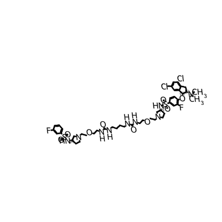 CN(C)[C@H]1Cc2c(Cl)cc(Cl)cc2[C@@H]1Oc1ccc(S(=O)(=O)N[C@@H]2CCN(CCOCCNC(=O)NCCCCNC(=O)NCCOCCN3CC[C@@H](NS(=O)(=O)c4cccc(F)c4)C3)C2)cc1F